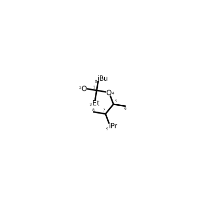 CCC(C)C([O])(CC)OC(C)C(C)C(C)C